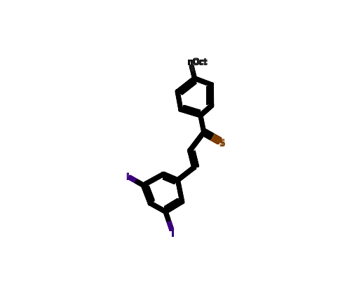 CCCCCCCCc1ccc(C(=S)C=Cc2cc(I)cc(I)c2)cc1